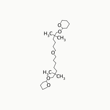 CC(C)(CCCCCOCCCCC(C)(C)COC1CCCCO1)COC1CCCCO1